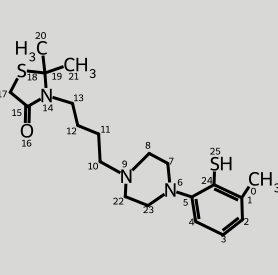 Cc1cccc(N2CCN(CCCCN3C(=O)CSC3(C)C)CC2)c1S